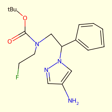 CC(C)(C)OC(=O)N(CCF)CC(c1ccccc1)n1cc(N)cn1